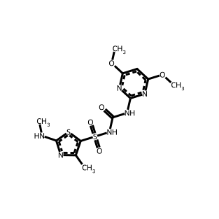 CNc1nc(C)c(S(=O)(=O)NC(=O)Nc2nc(OC)cc(OC)n2)s1